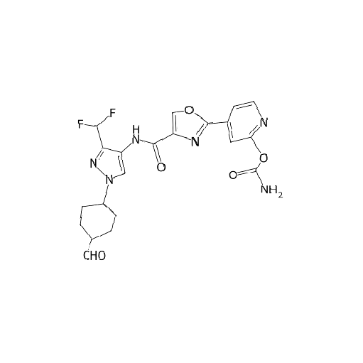 NC(=O)Oc1cc(-c2nc(C(=O)Nc3cn(C4CCC(C=O)CC4)nc3C(F)F)co2)ccn1